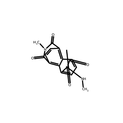 CNn1c(=O)c2ccc(c1=O)c1c3ccc(c(=O)n(C)c3=O)c21